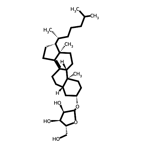 CC(C)CCC[C@@H](C)[C@H]1CCC2=C3CC[C@H]4C[C@@H](OC5O[C@H](CO)[C@@H](O)[C@H]5O)CC[C@]4(C)[C@H]3CC[C@@]21C